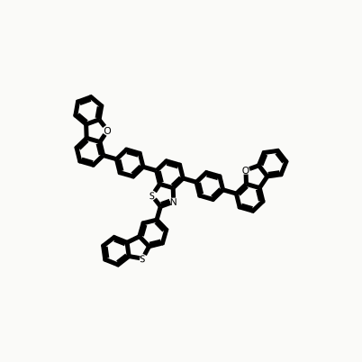 c1ccc2c(c1)oc1c(-c3ccc(-c4ccc(-c5ccc(-c6cccc7c6oc6ccccc67)cc5)c5sc(-c6ccc7sc8ccccc8c7c6)nc45)cc3)cccc12